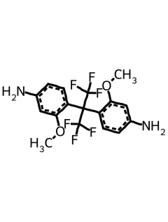 COc1cc(N)ccc1C(c1ccc(N)cc1OC)(C(F)(F)F)C(F)(F)F